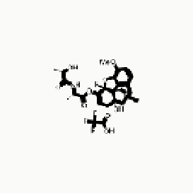 COc1ccc2c3c1O[C@H]1C(OC(=O)[C@H](C)NC(=O)[C@H](C)O)=CC[C@]4(O)C(C2)N(C)CC[C@]314.O=C(O)C(F)(F)F